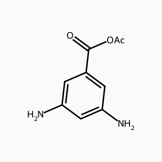 CC(=O)OC(=O)c1cc(N)cc(N)c1